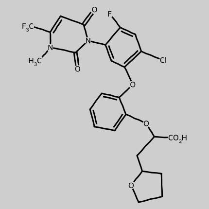 Cn1c(C(F)(F)F)cc(=O)n(-c2cc(Oc3ccccc3OC(CC3CCCO3)C(=O)O)c(Cl)cc2F)c1=O